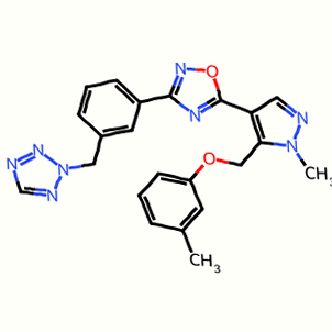 Cc1cccc(OCc2c(-c3nc(-c4cccc(Cn5ncnn5)c4)no3)cnn2C)c1